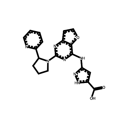 O=C(O)c1cc(Nc2nc(N3CCCC3c3ccccn3)nc3ccoc23)n[nH]1